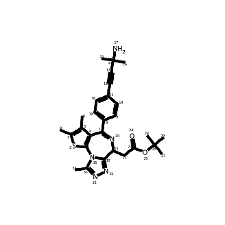 Cc1sc2c(c1C)C(c1ccc(C#CC(C)(C)N)cc1)=NC(CC(=O)OC(C)(C)C)c1nnc(C)n1-2